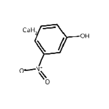 O=[N+]([O-])c1cccc(O)c1.[CaH2]